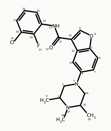 CC1CN(c2ccc3occ(C(=O)Nc4cccc(Cl)c4F)c3c2)CC(C)N1C